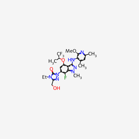 CCn1c(CO)nn(-c2cc(O[C@@H](C)C(F)(F)F)c3c(Nc4c(C)cc(C)nc4OC)nn(C)c3c2F)c1=O